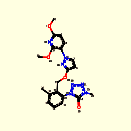 COc1ccc(-n2ccc(OCc3c(C)cccc3-n3nnn(C)c3=O)n2)c(OC)n1